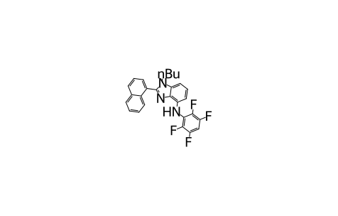 CCCCn1c(-c2cccc3ccccc23)nc2c(Nc3c(F)c(F)cc(F)c3F)cccc21